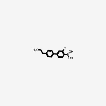 CCCc1ccc(-c2ccc(B(O)O)c(Cl)c2)cc1